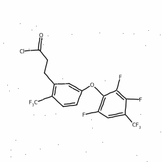 O=C(Cl)CCc1cc(Oc2c(F)cc(C(F)(F)F)c(F)c2F)ccc1C(F)(F)F